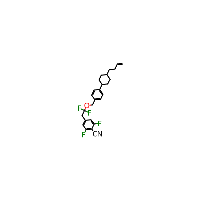 C=CCCC1CCC(c2ccc(COC(F)(F)Cc3cc(F)c(C#N)c(F)c3)cc2)CC1